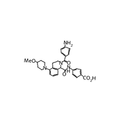 COC1CCN(c2cccc3c2CCN(C(=O)c2ccc(N)cc2)C3C(=O)Nc2ccc(C(=O)O)cc2)CC1